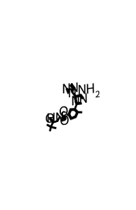 Cc1ccc(S(=O)(=O)NCC(=O)C(C)(C)C)cc1-c1cnc(N)c(-n2cncn2)n1